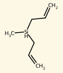 C=CC[SiH](C)CC=C